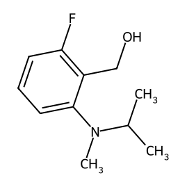 CC(C)N(C)c1cccc(F)c1CO